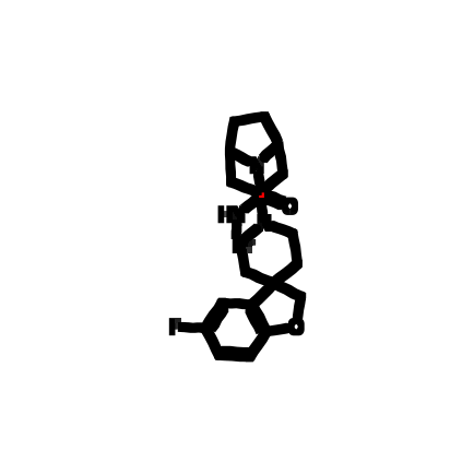 CC(C)NC(=O)N1C2CCC1CC(N1CCC3(CC1)COc1ccc(F)cc13)C2